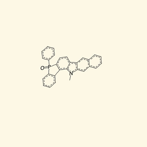 Cn1c2cc3ccccc3cc2c2ccc3c(c21)-c1ccccc1P3(=O)c1ccccc1